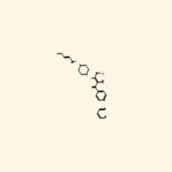 CC/C=C/C(=O)NC1CCC(Nc2c(C(=N)c3ccc(Oc4ccccn4)cc3)c(N)n[nH]c2=O)CC1